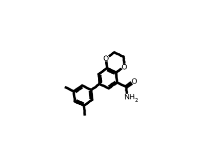 Cc1cc(C)cc(-c2cc3c(c(C(N)=O)c2)OCCO3)c1